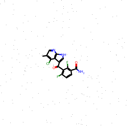 Cc1cnc2[nH]cc(C(=O)c3c(F)ccc(C(N)=O)c3F)c2c1Cl